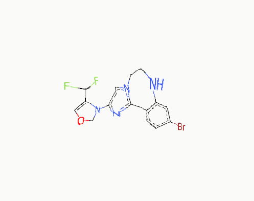 FC(F)C1=COCN1c1cn2c(n1)-c1ccc(Br)cc1NCC2